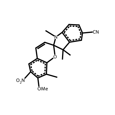 COc1c([N+](=O)[O-])cc2c(c1C)OC1(C=C2)N(C)c2ccc(C#N)cc2C1(C)C